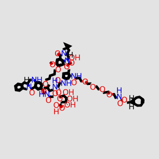 COc1cc2c(cc1OCCCCCOc1cc3c(cc1OC)C(=O)N1CC4(CC4)C[C@H]1[C@H](O)N3C(=O)OCc1ccc(NC(=O)[C@H](CO[C@@H]3O[C@H](C(=O)O)[C@@H](O)[C@H](O)[C@H]3O)NC(=O)[C@@H](NC(C)=O)C(C)C)cc1NC(=O)CCOCCOCCOCCOCCNC(=O)OCC1[C@H]3CCC#CCC[C@@H]13)NC[C@@H]1Cc3ccccc3CN1C2=O